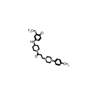 Cc1ccc(N2CCN(CCC(=O)N3CCC(Nc4ccc(Cl)c(SC(F)(F)F)c4)CC3)CC2)cc1